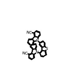 N#Cc1cccc2c1c1ccccc1n2-c1ccc2sc3cccc(-n4c5ccccc5c5c(C#N)cccc54)c3c2c1